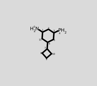 NC1CC(P)CC(C2CCC2)C1